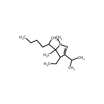 CCCCC(C)C1(C)C(CC)C(C(C)C)=NN1C